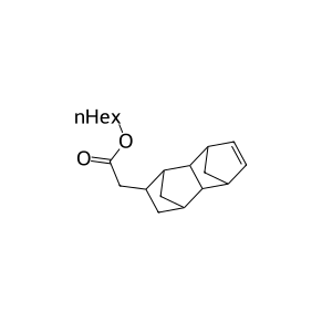 CCCCCCOC(=O)CC1CC2CC1C1C3C=CC(C3)C21